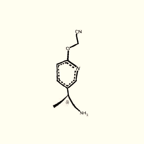 C[C@H](N)c1ccc(OCC#N)nc1